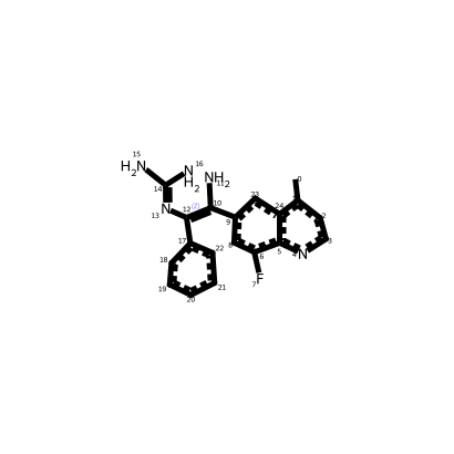 Cc1ccnc2c(F)cc(/C(N)=C(/N=C(N)N)c3ccccc3)cc12